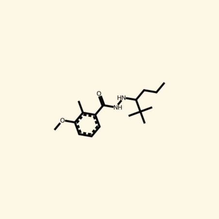 CCCC(NNC(=O)c1cccc(OC)c1C)C(C)(C)C